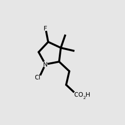 CC1(C)C(F)CN(Cl)C1CCC(=O)O